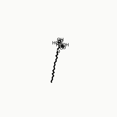 CCCCCCCCCCCCCCCCCCOCC(COP(=O)(O)O)OP(=O)(O)O